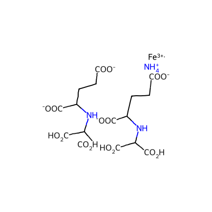 O=C([O-])CCC(NC(C(=O)O)C(=O)O)C(=O)[O-].O=C([O-])CCC(NC(C(=O)O)C(=O)O)C(=O)[O-].[Fe+3].[NH4+]